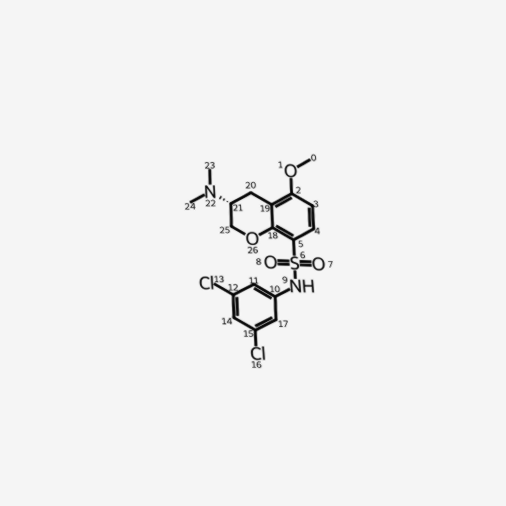 COc1ccc(S(=O)(=O)Nc2cc(Cl)cc(Cl)c2)c2c1C[C@@H](N(C)C)CO2